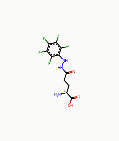 N[C@@H](CCC(=O)NNc1c(F)c(F)c(F)c(F)c1F)C(=O)O